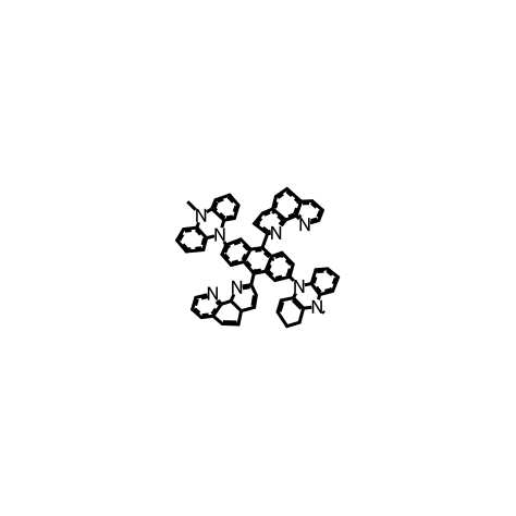 CN1C2=C(C=CCC2)N(c2ccc3c(-c4ccc5ccc6cccnc6c5n4)c4cc(N5c6ccccc6N(C)c6ccccc65)ccc4c(C4=NC5c6ncccc6C=CC5C=C4)c3c2)c2ccccc21